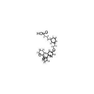 O=C(O)CCCc1cccc(CCOc2ccc(-c3ccnn3C3CCCCO3)nc2)c1